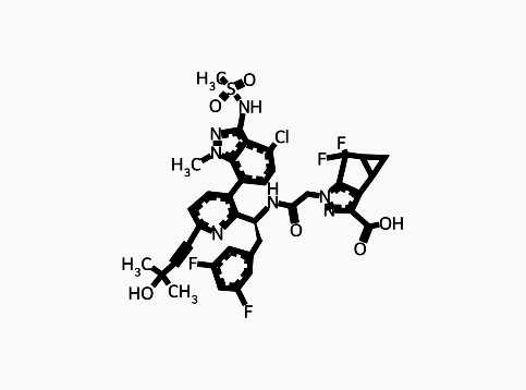 Cn1nc(NS(C)(=O)=O)c2c(Cl)ccc(-c3ccc(C#CC(C)(C)O)nc3[C@H](Cc3cc(F)cc(F)c3)NC(=O)Cn3nc(C(=O)O)c4c3C(F)(F)C3CC43)c21